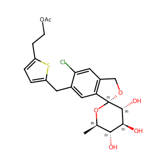 CC(=O)OCCc1ccc(Cc2cc3c(cc2Cl)CO[C@]32O[C@H](C)[C@@H](O)[C@H](O)[C@H]2O)s1